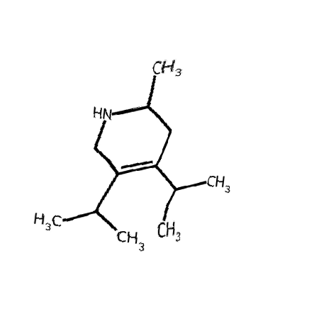 CC1CC(C(C)C)=C(C(C)C)CN1